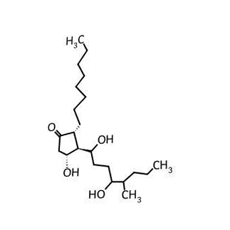 CCCCCCCC[C@H]1C(=O)C[C@@H](O)[C@@H]1C(O)CCC(O)C(C)CCC